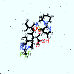 C=C(/C=C(CN1C[C@H]2CCCCN2c2ncc(C)cc2S1(=O)=O)\C(C)=C/C)[C@@H](c1ccn2c(C(F)(F)F)nnc2c1CC)C(C)C(=O)O